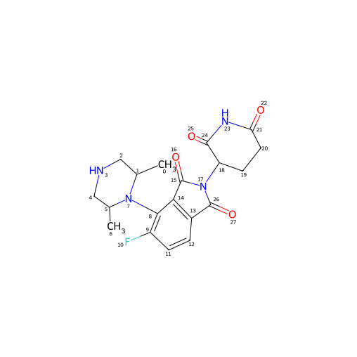 CC1CNCC(C)N1c1c(F)ccc2c1C(=O)N(C1CCC(=O)NC1=O)C2=O